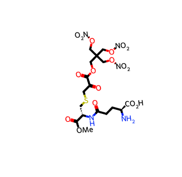 COC(=O)[C@H](CSCC(=O)C(=O)OCC(CO[N+](=O)[O-])(CO[N+](=O)[O-])CO[N+](=O)[O-])NC(=O)CC[C@H](N)C(=O)O